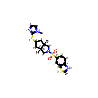 Cn1ccnc1SC1C[C@@H]2CN(S(=O)(=O)c3ccc4ncsc4c3)C[C@@H]2C1